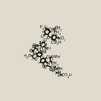 CC1COc2ccccc2N1C(=O)C(Cl)Cl.CCNc1nc(Cl)nc(NC(C)(C)C)n1.CCc1cccc(C)c1N(C(=O)CCl)C(C)COC.C[S+](C)C.O=C(O)CNCP(=O)([O-])O.O=C(O)c1cc(Oc2ccc(C(F)(F)F)cc2Cl)ccc1[N+](=O)[O-]